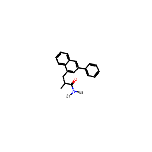 CCN(CC)C(=O)C(C)Cc1cc(-c2ccccc2)cc2ccccc12